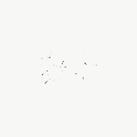 C=CC(C)(C[C@@H](OC(=O)CO)[C@]1(C)CC[C@@H](C)[C@]2(CC)CCC(=O)[C@@H]12)[C@H](C)O